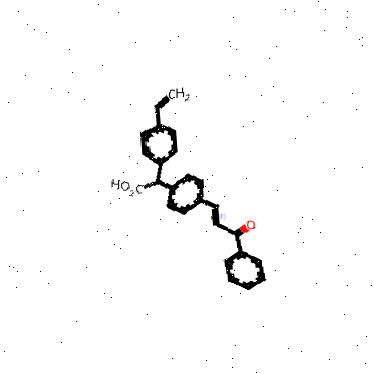 C=Cc1ccc(C(C(=O)O)c2ccc(/C=C/C(=O)c3ccccc3)cc2)cc1